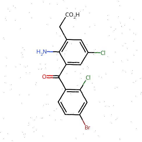 Nc1c(CC(=O)O)cc(Cl)cc1C(=O)c1ccc(Br)cc1Cl